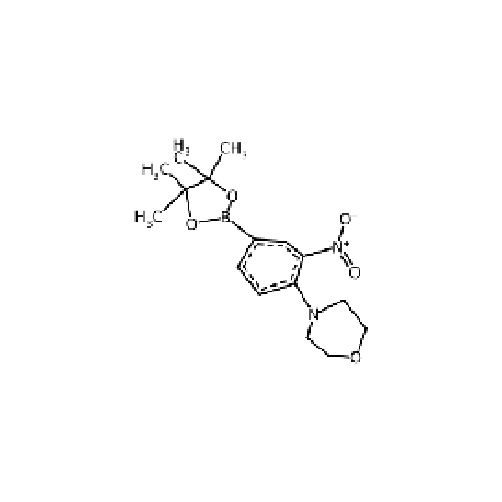 CC1(C)OB(c2ccc(N3CCOCC3)c([N+](=O)[O-])c2)OC1(C)C